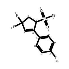 CCS(=O)(=O)C1CC(F)(F)C=C1c1ccc(F)cc1